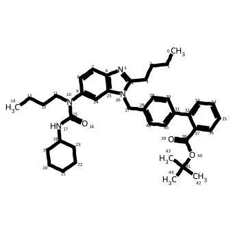 CCCCc1nc2ccc(N(CCCC)C(=O)NC3CCCCC3)cc2n1Cc1ccc(-c2ccccc2C(=O)OC(C)(C)C)cc1